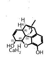 CN1CC[C@]23c4c5ccc(O)c4O[C@H]2[C@@H](O)C=C[C@H]3[C@H]1C5.[CaH2]